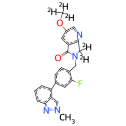 [2H]C([2H])([2H])Oc1cnc2c(c1)C(=O)N(Cc1ccc(-c3cccc4nn(C)cc34)cc1F)C2([2H])[2H]